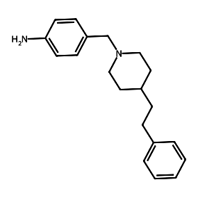 Nc1ccc(CN2CCC(CCc3ccccc3)CC2)cc1